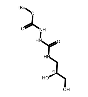 CC(C)(C)OC(=O)NNC(=O)NC[C@H](O)CO